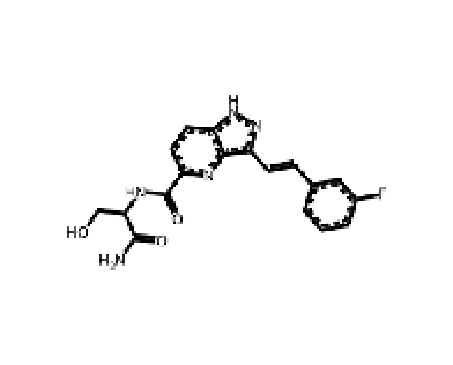 NC(=O)C(CO)NC(=O)c1ccc2[nH]nc(/C=C/c3cccc(F)c3)c2n1